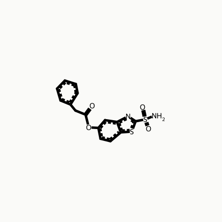 NS(=O)(=O)c1nc2cc(OC(=O)Cc3ccccc3)ccc2s1